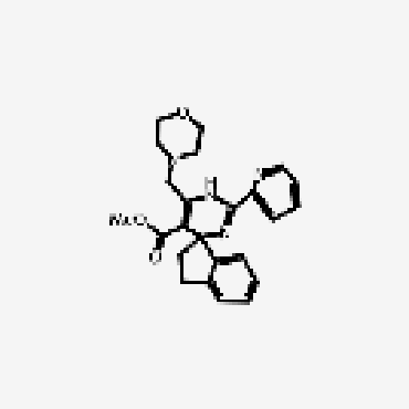 COC(=O)C1=C(CN2CCOCC2)NC(c2ccccn2)=NC12CCc1ccccc12